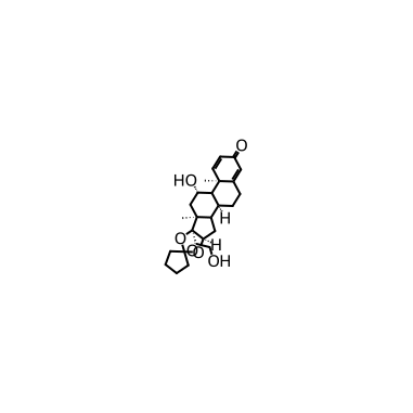 C[C@]12C=CC(=O)C=C1CC[C@@H]1C2[C@@H](O)C[C@@]2(C)C1C[C@H]1OC3(CCCC3)O[C@]12C(=O)CO